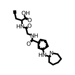 C#CCC(NC(=O)CNC(=O)c1cccc(NC2=NCCCCC2)c1)C(=O)O